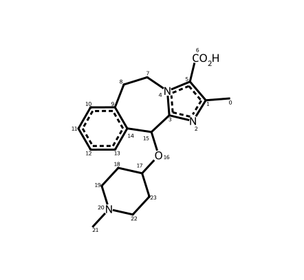 Cc1nc2n(c1C(=O)O)CCc1ccccc1C2OC1CCN(C)CC1